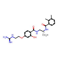 Cc1cccc(C(=O)N[C@@H](CNC(=O)c2ccc(OCCNC(=N)N)cc2O)C(=O)O)c1C